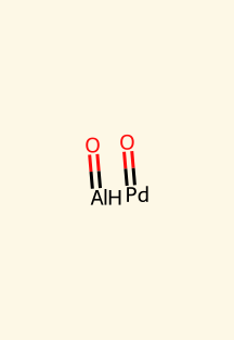 [O]=[AlH].[O]=[Pd]